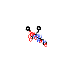 COC[C@H](NC(=O)[C@H](CCc1ccccc1)NC(=O)c1cc(CN2CCOCC2)on1)C(=O)OOCc1ccccc1